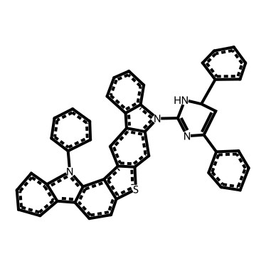 C1=C(c2ccccc2)N=C(n2c3ccccc3c3cc4c(cc32)sc2ccc3c5ccccc5n(-c5ccccc5)c3c24)NC1c1ccccc1